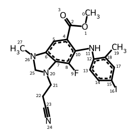 COC(=O)c1cc2c(c(F)c1Nc1ccc(I)cc1C)N(CCC#N)CN2C